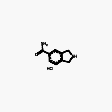 Cl.NC(=O)c1ccc2c(c1)CNC2